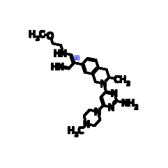 COCCN/C=C(\C=N)c1ccc2c(c1)CN(c1cc(N3CCN(C)CC3)nc(N)n1)C(C)C2